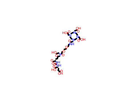 O=C(O)CC[C@H](NC(=O)N[C@@H](CCCCN(CC(=O)O)C(=O)COCCOCCNC(=O)CN1CCN(CC(=O)O)CCN(CC(=O)O)CCN(CC(=O)O)CC1)C(=O)O)C(=O)O